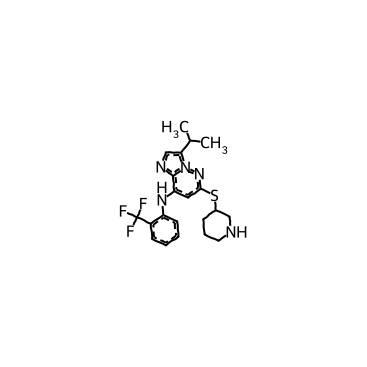 CC(C)c1cnc2c(Nc3ccccc3C(F)(F)F)cc(SC3CCCNC3)nn12